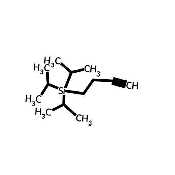 C#CCC[Si](C(C)C)(C(C)C)C(C)C